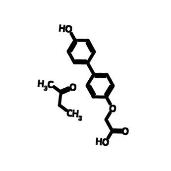 CCC(C)=O.O=C(O)COc1ccc(-c2ccc(O)cc2)cc1